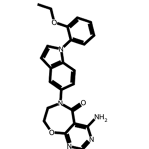 CCOc1ccccc1-n1ccc2cc(N3CCOc4ncnc(N)c4C3=O)ccc21